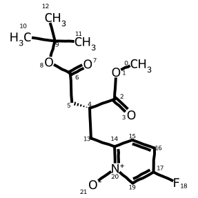 COC(=O)[C@@H](CC(=O)OC(C)(C)C)Cc1ccc(F)c[n+]1[O-]